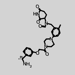 Cc1ccc(N2CCN(C(=O)COc3cccc([C@@H](C)N)c3)CC2)cc1CN(C=O)C1CCC(=O)NC1=O